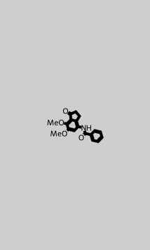 COc1cc(NC(=O)c2ccccc2)c2c(c1OC)C(=O)CC2